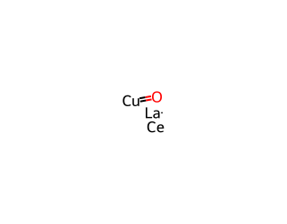 [Ce].[La].[O]=[Cu]